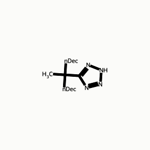 CCCCCCCCCCC(C)(CCCCCCCCCC)c1nn[nH]n1